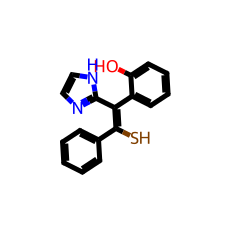 Oc1ccccc1C(=C(S)c1ccccc1)c1ncc[nH]1